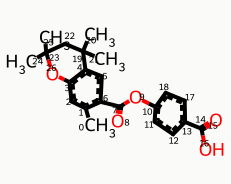 Cc1cc2c(cc1C(=O)Oc1ccc(C(=O)O)cc1)C(C)(C)CC(C)(C)O2